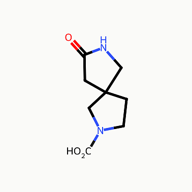 O=C1CC2(CCN(C(=O)O)C2)CN1